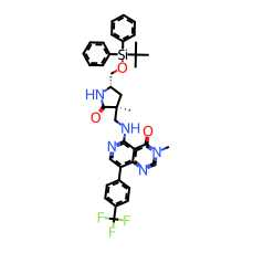 Cn1cnc2c(-c3ccc(C(F)(F)F)cc3)cnc(NC[C@]3(C)C[C@@H](CO[Si](c4ccccc4)(c4ccccc4)C(C)(C)C)NC3=O)c2c1=O